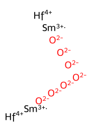 [Hf+4].[Hf+4].[O-2].[O-2].[O-2].[O-2].[O-2].[O-2].[O-2].[Sm+3].[Sm+3]